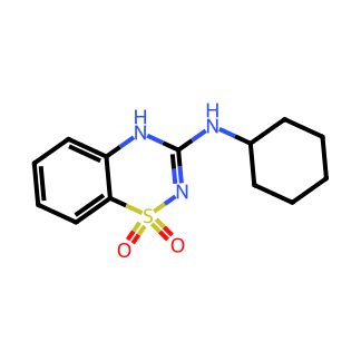 O=S1(=O)N=C(NC2CCCCC2)Nc2ccccc21